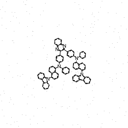 c1ccc(N(c2ccc(-c3nc4ccccc4nc3-c3ccc(N(c4ccccc4)c4cccc5c(-n6c7ccccc7c7ccccc76)cccc45)cc3)cc2)c2cccc3c(-n4c5ccccc5c5ccccc54)cccc23)cc1